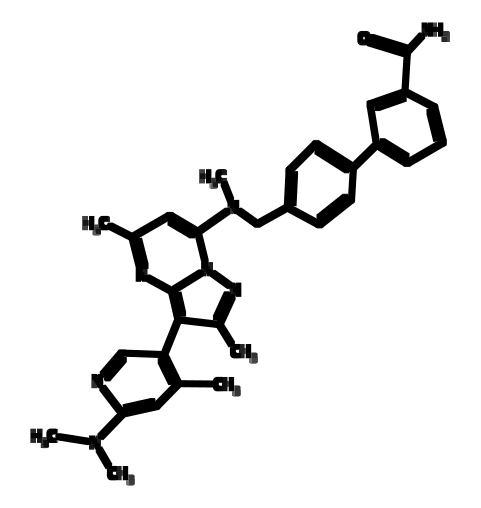 Cc1cc(N(C)Cc2ccc(-c3cccc(C(N)=O)c3)cc2)n2nc(C)c(-c3cnc(N(C)C)cc3C)c2n1